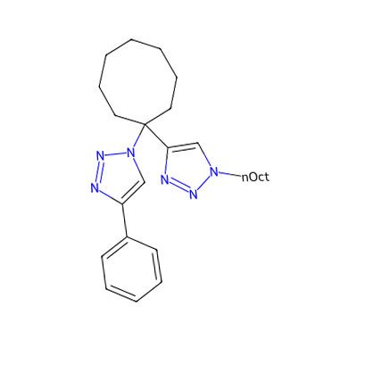 CCCCCCCCn1cc(C2(n3cc(-c4ccccc4)nn3)CCCCCCC2)nn1